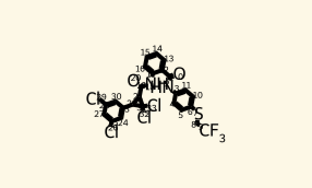 O=C(Nc1ccc(SCC(F)(F)F)cc1)c1ccccc1NC(=O)C1C(c2cc(Cl)cc(Cl)c2)C1(Cl)Cl